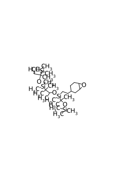 CCC(C)(O[Si](C)(C)C(C)(C)C(C)O[Si](C)(CCC1CCC2OC2C1)C(C)(C)O[Si](C)(C)C)[Si](C)(C)C